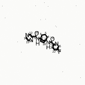 O=C(NC12CCCC(NC(=O)c3cnccn3)(CC1)C2)c1ccc(F)cn1